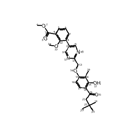 COC(=O)c1cccc(-c2cnc(COc3ccc(C(=O)CC(C)(C)C)c(O)c3C)nc2)c1OC